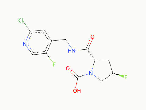 O=C(NCc1cc(Cl)ncc1F)[C@@H]1C[C@@H](F)CN1C(=O)O